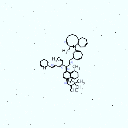 C=CC(=C\C=C\C1=CCCC=N1)/C(/C=C/C1=CC(N2C3=C(CCC=CC3)CCC/C=C\C2C)=CCC=C1)=c1\cc/c(=C/C(=C)C(C)(C)C)c2c1=C(C)CCC=2